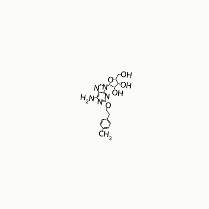 Cc1ccc(CCOc2nc(N)c3ncn(C4OC(CO)[C@@H](O)[C@H]4O)c3n2)cc1